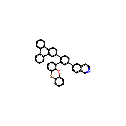 c1ccc2c(c1)Oc1c(cccc1-c1cc(-c3ccc4cnccc4c3)ccc1-c1ccc3c4ccccc4c4ccccc4c3c1)S2